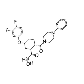 O=C(NO)[C@H]1C[C@H](Oc2ccc(F)c(F)c2)CC[C@@H]1C(=O)N1CCN(c2ccccc2)CC1